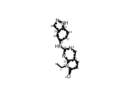 CCn1c(=O)ccc2cnc(Nc3ccc4[nH]ncc4c3)nc21